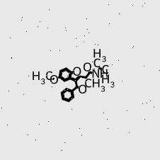 COc1ccc2oc(C(C)C(=O)NC(C)C)c(C(=O)c3ccccc3)c2c1